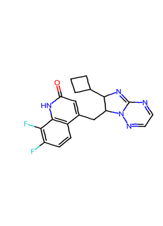 O=c1cc(CC2C(C3CCC3)N=C3N=CC=NN32)c2ccc(F)c(F)c2[nH]1